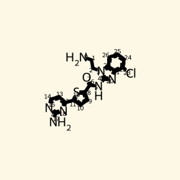 NCCn1c(NC(=O)c2ccc(-c3ccnc(N)n3)s2)nc2c(Cl)cccc21